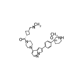 C=NC[C@H]1C[C@H](C(=O)N2CCN(c3ccnn4cc(-c5ccc([C@]6(OC)CCCNC6)cc5)cc34)CC2)C1